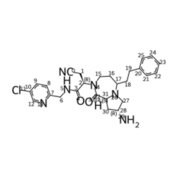 N#CC[C@H](C(=O)NCc1ccc(Cl)cn1)N1CCC(CCc2ccccc2)N2C[C@H](N)C[C@H]2C1=O